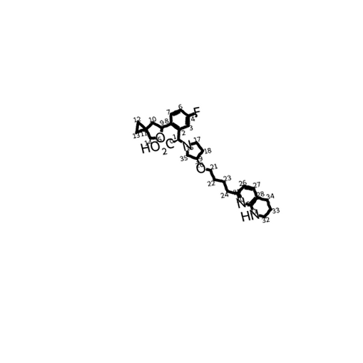 O=C(O)[C@@H](c1cc(F)ccc1C1CC2(CC2)CO1)N1CC[C@@H](OCCCCc2ccc3c(n2)NCCC3)C1